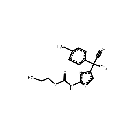 C#CC(C)(c1ccc(C)cc1)c1csc(NC(=O)NCCO)n1